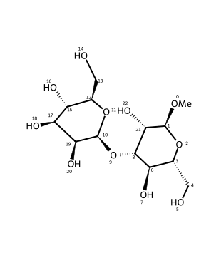 CO[C@H]1O[C@H](CO)[C@@H](O)[C@H](O[C@@H]2O[C@H](CO)[C@@H](O)[C@H](O)[C@@H]2O)[C@@H]1O